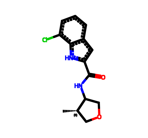 C[C@H]1COCC1NC(=O)c1cc2cccc(Cl)c2[nH]1